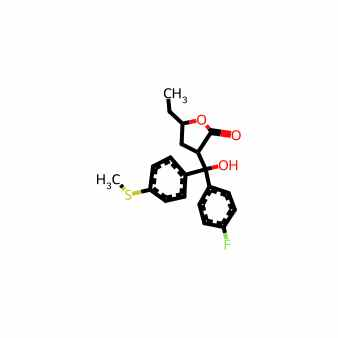 CCC1CC(C(O)(c2ccc(F)cc2)c2ccc(SC)cc2)C(=O)O1